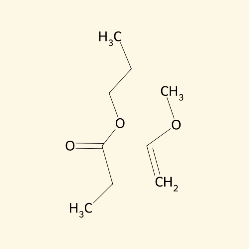 C=COC.CCCOC(=O)CC